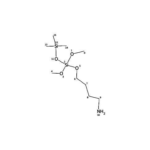 CO[Si](OC)(OCCCCN)O[Si](C)(C)C